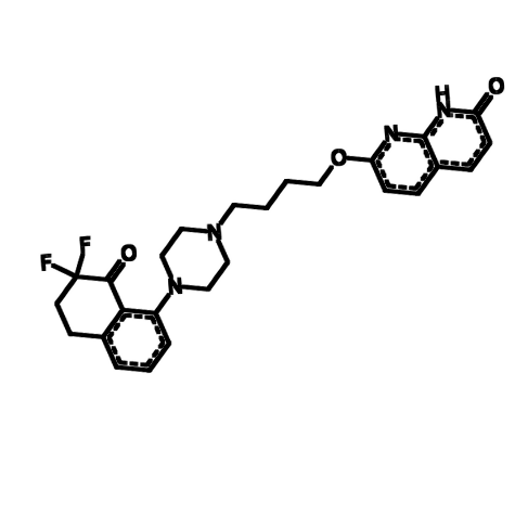 O=C1c2c(cccc2N2CCN(CCCCOc3ccc4ccc(=O)[nH]c4n3)CC2)CCC1(F)F